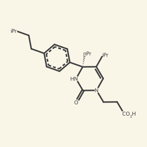 CCC[C@@]1(c2ccc(CCC(C)C)cc2)NC(=O)N(CCC(=O)O)C=C1C(C)C